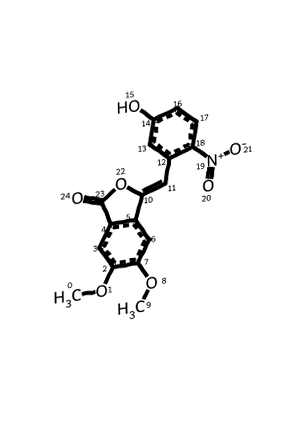 COc1cc2c(cc1OC)C(=Cc1cc(O)ccc1[N+](=O)[O-])OC2=O